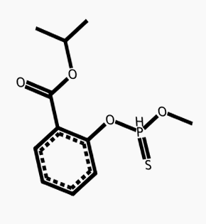 CO[PH](=S)Oc1ccccc1C(=O)OC(C)C